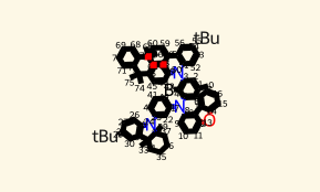 Cc1cc2c3c(c1)N(c1cccc4oc5ccccc5c14)c1cc(N4c5ccc(C(C)(C)C)cc5C5(C)CCCCC45C)ccc1B3c1cc3c(cc1N2c1ccc(C(C)(C)C)cc1-c1ccccc1)C(C)(C)c1ccccc1C3(C)C